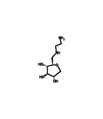 NCCNC[C@H]1OC[C@H](O)[C@@H](O)[C@@H]1O